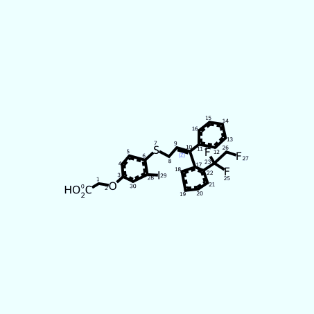 O=C(O)COc1ccc(SC/C=C(/c2ccccc2)c2ccccc2C(F)(F)CF)c(I)c1